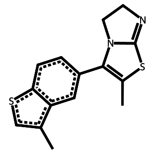 CC1=C(c2ccc3scc(C)c3c2)N2CCN=C2S1